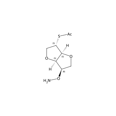 CC(=O)S[C@H]1CO[C@H]2[C@@H]1OC[C@H]2ON